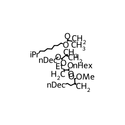 C=C(C)C(=O)OCCCCCCCC(C)C.C=C(C)C(=O)OCCCCCCCCCC.C=C(CC)C(=O)OCCCCCC.C=C(CCCCCCCCCCCC)C(=O)OC